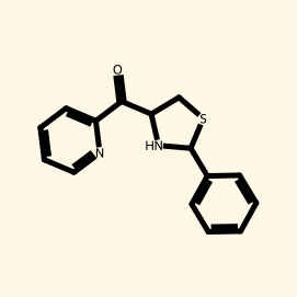 O=C(c1ccccn1)C1CSC(c2ccccc2)N1